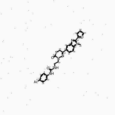 CC(=O)c1ccc(NC(=O)NCCN2N=C(c3ccc4c(c3)nc(-c3ccco3)n4C)CSC2=O)cc1